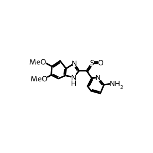 COc1cc2nc(C(=S=O)c3cccc(N)n3)[nH]c2cc1OC